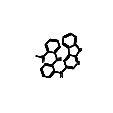 CN(F)c1ccccc1Nc1ccccc1Nc1cnc2oc3ccccc3c2c1